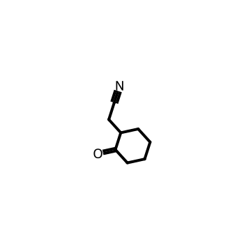 N#CCC1CCCCC1=O